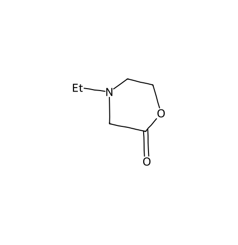 CCN1CCOC(=O)C1